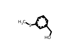 CSc1[c]ccc(CO)c1